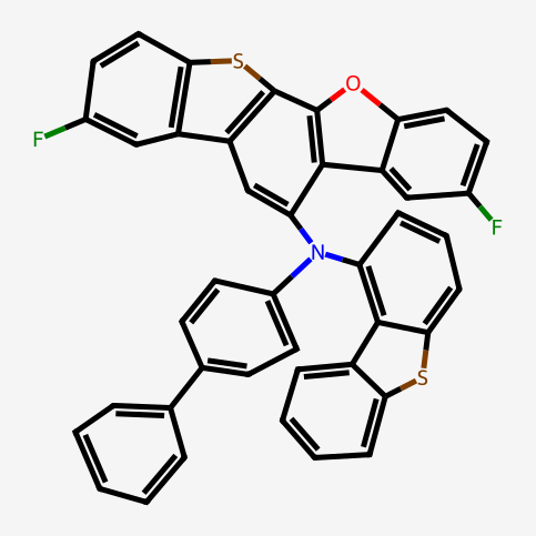 Fc1ccc2sc3c(cc(N(c4ccc(-c5ccccc5)cc4)c4cccc5sc6ccccc6c45)c4c5cc(F)ccc5oc34)c2c1